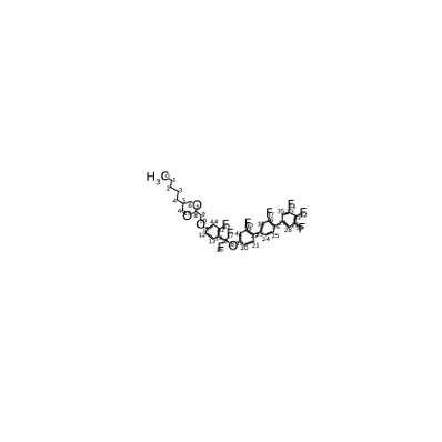 CCCCCC1COC(COc2ccc(C(F)(F)Oc3ccc(-c4ccc(-c5cc(F)c(F)c(F)c5)c(F)c4)c(F)c3)c(F)c2)OC1